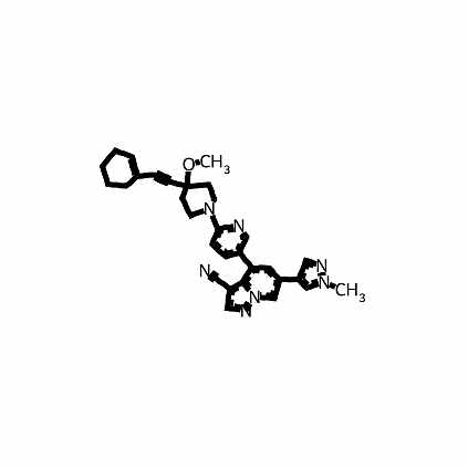 COC1(C#CC2=CCCCC2)CCN(c2ccc(-c3cc(-c4cnn(C)c4)cn4ncc(C#N)c34)cn2)CC1